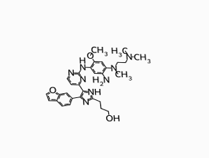 COc1cc(N(C)CCN(C)C)c(N)cc1Nc1nccc(-c2[nH]c(CCCO)nc2-c2ccc3ccoc3c2)n1